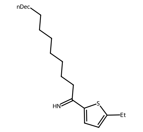 CCCCCCCCCCCCCCCCCC(=N)c1ccc(CC)s1